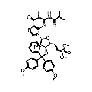 COc1ccc(C(O[C@H]2[C@@H](F)[C@H](n3cnc4c(=O)[nH]c(NC(=O)C(C)C)nc43)O[C@@H]2/C=C/P(=O)(O)O)(c2ccccc2)c2ccc(OC)cc2)cc1